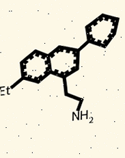 CCc1ccc2cc(-c3ccccc3)cc(CCN)c2c1